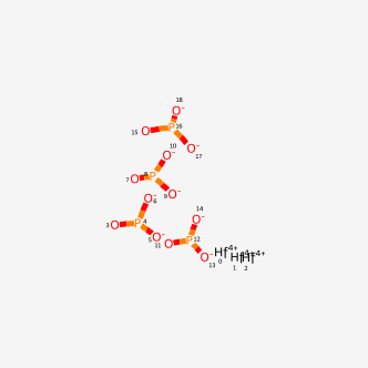 [Hf+4].[Hf+4].[Hf+4].[O-]P([O-])[O-].[O-]P([O-])[O-].[O-]P([O-])[O-].[O-]P([O-])[O-]